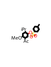 COc1cc(C(C)C)c(OS(=O)(=O)c2ccc(C)cc2)cc1C(C)=O